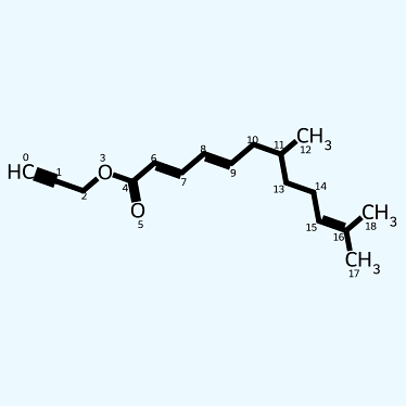 C#CCOC(=O)/C=C/C=C/CC(C)CCC=C(C)C